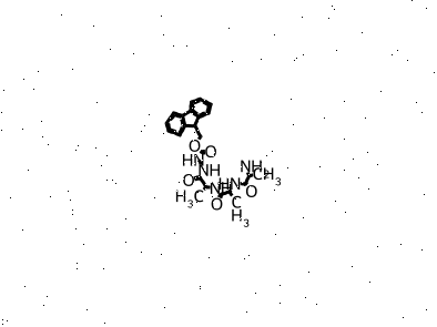 CC(N)C(=O)NC(C)C(=O)NC(C)C(=O)NNC(=O)OCC1c2ccccc2-c2ccccc21